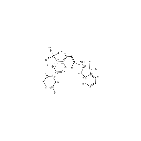 CN1CCO[C@H](C(=O)N(C)[C@@H](c2ccc(N[C@H]3Cc4ccccc4C3(C)C)cn2)C(F)(F)F)C1